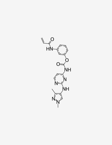 C=CC(=O)Nc1cccc(OC(=O)Nc2ccnc(Nc3cn(C)nc3C)n2)c1